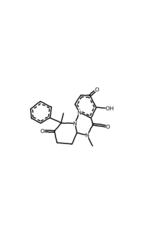 CN1C(=O)c2c(O)c(=O)ccn2N2C1CCC(=O)C2(C)c1ccccc1